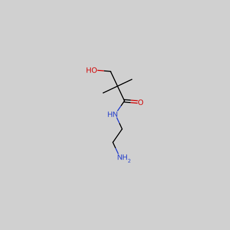 CC(C)(CO)C(=O)NCCN